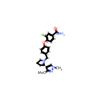 COc1nn(C)cc1[C@@H]1CCCN1Cc1ccc(Oc2ccc(C(N)=O)cc2F)cc1